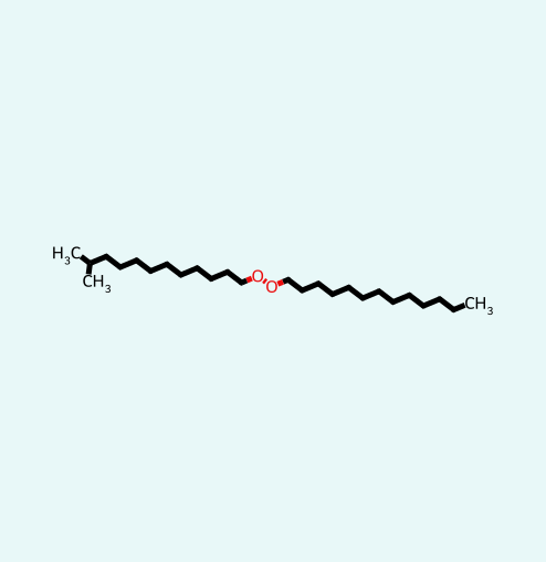 CCCCCCCCCCCCCOOCCCCCCCCCCC(C)C